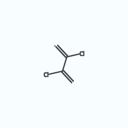 [CH]=C(Cl)C(=C)Cl